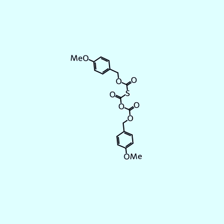 COc1ccc(COC(=O)OC(=O)SC(=O)OCc2ccc(OC)cc2)cc1